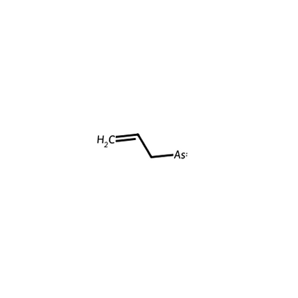 C=CC[As]